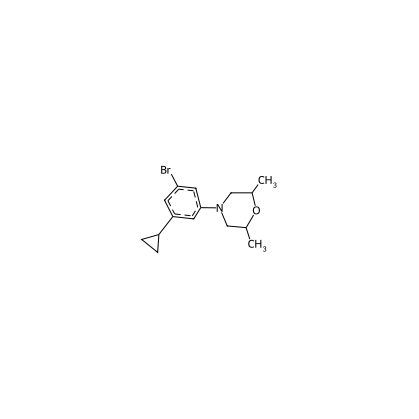 CC1CN(c2cc(Br)cc(C3CC3)c2)CC(C)O1